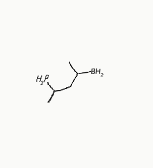 BC(C)CC(C)P